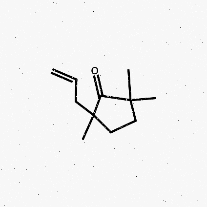 C=CCC1(C)CCC(C)(C)C1=O